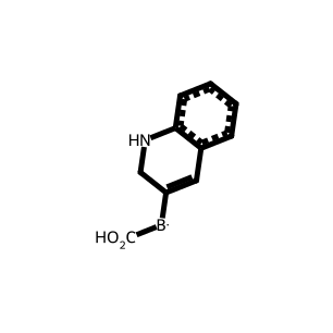 O=C(O)[B]C1=Cc2ccccc2NC1